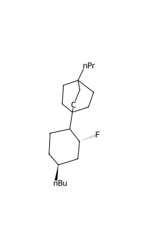 CCCC[C@H]1CCC(C23CCC(CCC)(CC2)CC3)[C@H](F)C1